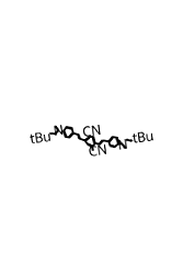 CN(CCC(C)(C)C)c1ccc(/C=C/c2cc(C#N)c(/C=C/c3ccc(N(C)CCC(C)(C)C)cc3)cc2C#N)cc1